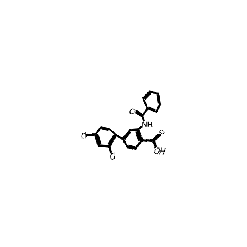 O=C(Nc1cc(-c2ccc(Cl)cc2Cl)ccc1C(=O)O)c1ccccc1